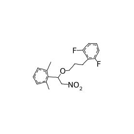 Cc1cccc(C)c1C(C[N+](=O)[O-])OCCCc1c(F)cccc1F